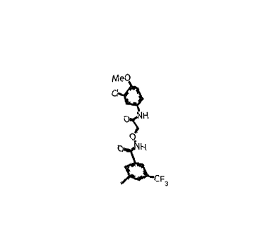 COc1ccc(NC(=O)CONC(=O)c2cc(C)cc(C(F)(F)F)c2)cc1Cl